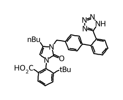 CCCCc1cn(-c2c(C(=O)O)cccc2C(C)(C)C)c(=O)n1Cc1ccc(-c2ccccc2-c2nnn[nH]2)cc1